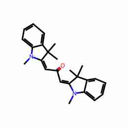 CN1/C(=C/C(=O)/C=C2/N(C)c3ccccc3C2(C)C)C(C)(C)c2ccccc21